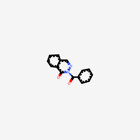 O=C(c1ccccc1)n1ncc2ccccc2c1=O